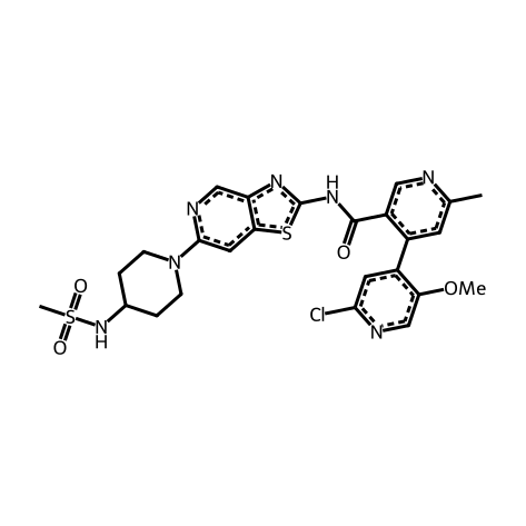 COc1cnc(Cl)cc1-c1cc(C)ncc1C(=O)Nc1nc2cnc(N3CCC(NS(C)(=O)=O)CC3)cc2s1